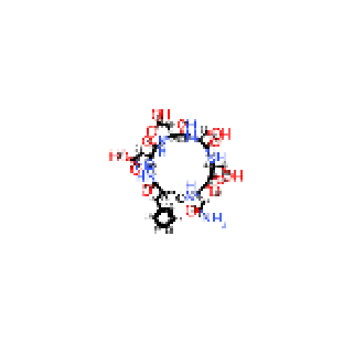 NC(=O)C[C@@H]1NCCC(Cc2ccccc2)C(=O)NN[C@@H](CC(=O)O)C(=O)N[C@@H](CC(=O)O)C(=O)N[C@@H](CO)C(=O)N[C@@H](CO)C(=O)C1=O